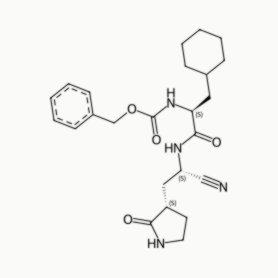 N#C[C@H](C[C@@H]1CCNC1=O)NC(=O)[C@H](CC1CCCCC1)NC(=O)OCc1ccccc1